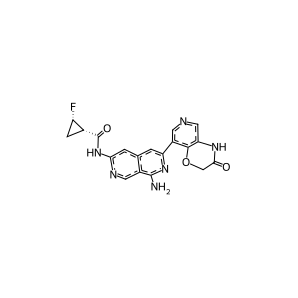 Nc1nc(-c2cncc3c2OCC(=O)N3)cc2cc(NC(=O)[C@@H]3C[C@@H]3F)ncc12